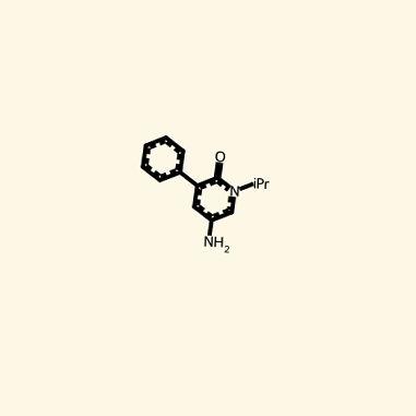 CC(C)n1cc(N)cc(-c2ccccc2)c1=O